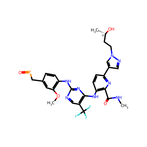 CNC(=O)c1nc(-c2cnn(CC[C@H](C)O)c2)ccc1Nc1nc(Nc2ccc(CP=O)cc2OC)ncc1C(F)(F)F